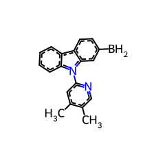 Bc1ccc2c3ccccc3n(-c3cc(C)c(C)cn3)c2c1